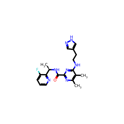 Cc1nc(C(=O)N[C@H](C)c2ncccc2F)nc(NCCc2cn[nH]c2)c1C